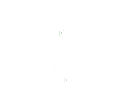 Cl.Cl.Cl.Cl.[S].[S]